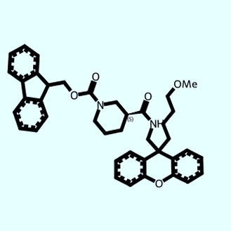 COCCCCC1(CNC(=O)[C@H]2CCCN(C(=O)OCC3c4ccccc4-c4ccccc43)C2)c2ccccc2Oc2ccccc21